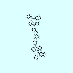 CC1(C)c2cc3cc(N(c4ccccc4)c4cccc5c4oc4c(-c6ccccc6)cc6ccccc6c45)ccc3cc2-c2cc3ccc(N(c4ccccc4)c4cccc5c4oc4c(-c6ccccc6)cc6ccccc6c45)cc3cc21